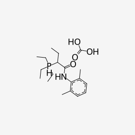 CCC(C(=O)Nc1c(C)cccc1C)[PH](CC)(CC)CC.O=C(O)O